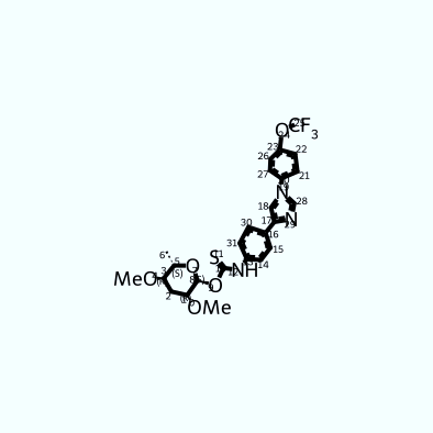 CO[C@@H]1C[C@@H](OC)[C@H](C)O[C@H]1OC(=S)Nc1ccc(-c2cn(-c3ccc(OC(F)(F)F)cc3)cn2)cc1